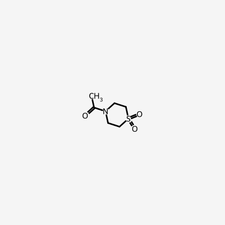 CC(=O)N1CCS(=O)(=O)CC1